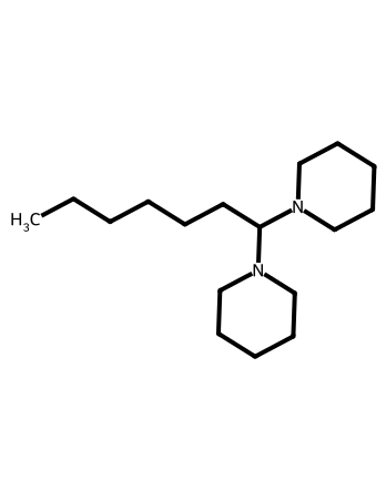 CCCCCCC(N1CCCCC1)N1CCCCC1